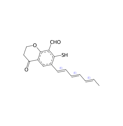 C/C=C/C=C/C=C/c1cc2c(c(C=O)c1S)OCCC2=O